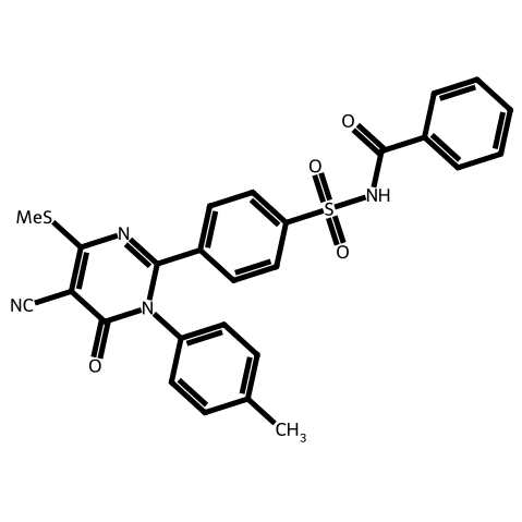 CSc1nc(-c2ccc(S(=O)(=O)NC(=O)c3ccccc3)cc2)n(-c2ccc(C)cc2)c(=O)c1C#N